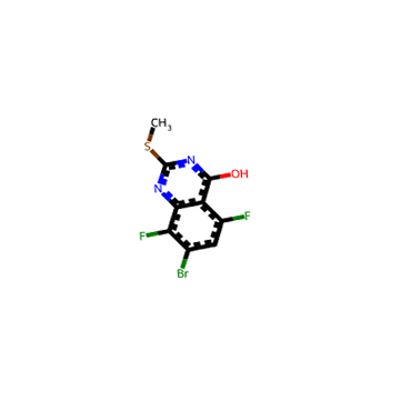 CSc1nc(O)c2c(F)cc(Br)c(F)c2n1